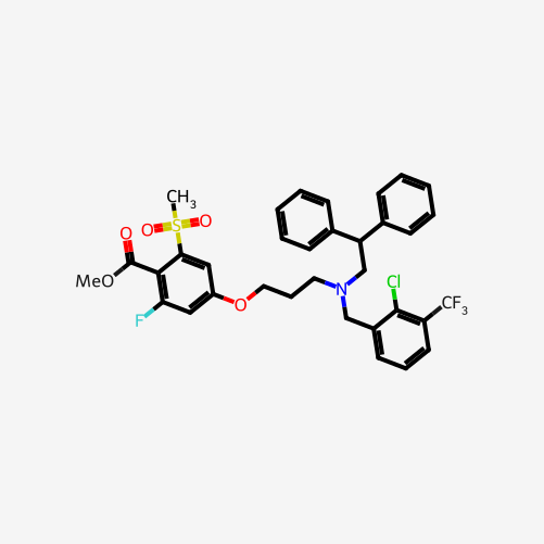 COC(=O)c1c(F)cc(OCCCN(Cc2cccc(C(F)(F)F)c2Cl)CC(c2ccccc2)c2ccccc2)cc1S(C)(=O)=O